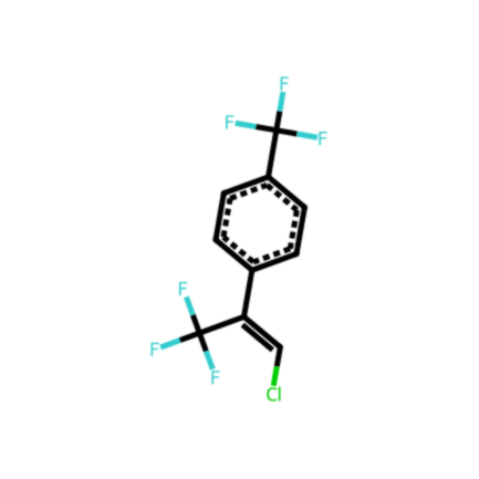 FC(F)(F)C(=CCl)c1ccc(C(F)(F)F)cc1